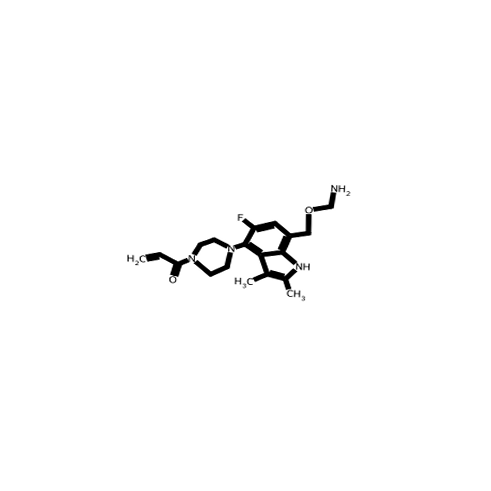 C=CC(=O)N1CCN(c2c(F)cc(COCN)c3[nH]c(C)c(C)c23)CC1